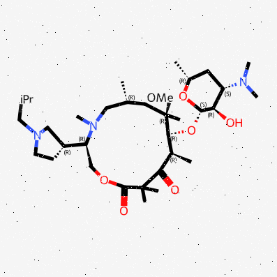 CO[C@]1(C)C[C@@H](C)CN(C)[C@H]([C@@H]2CCN(CC(C)C)C2)COC(=O)C(C)(C)C(=O)[C@H](C)[C@H]1O[C@@H]1O[C@H](C)C[C@H](N(C)C)[C@H]1O